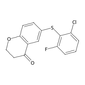 O=C1CCOc2ccc(Sc3c(F)cccc3Cl)cc21